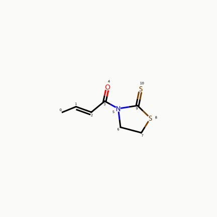 C/C=C/C(=O)N1CCSC1=S